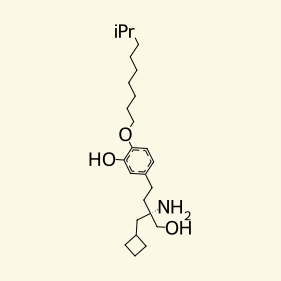 CC(C)CCCCCCCOc1ccc(CC[C@@](N)(CO)CC2CCC2)cc1O